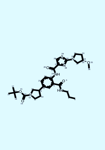 CCCNC(=O)c1cc(C2CCN(C(=O)OC(C)(C)C)C2)ccc1NC(=O)c1csc(N2CC[C@H](OC)C2)n1